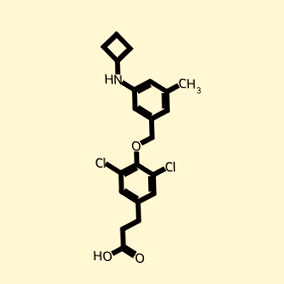 Cc1cc(COc2c(Cl)cc(CCC(=O)O)cc2Cl)cc(NC2CCC2)c1